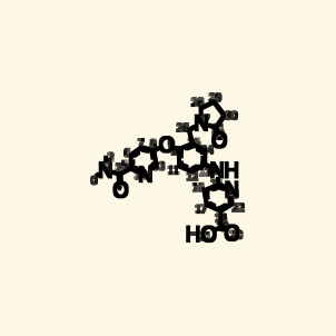 CN(C)C(=O)c1ccc(Oc2ccc(Nc3ccc(C(=O)O)cn3)cc2CN2CCCC2=O)cn1